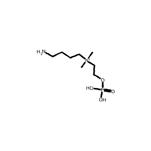 C[N+](C)(CCCCN)CCOP(=O)(O)O